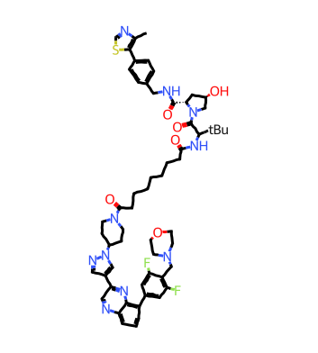 Cc1ncsc1-c1ccc(CNC(=O)[C@@H]2C[C@@H](O)CN2C(=O)C(NC(=O)CCCCCCCC(=O)N2CCC(n3cc(-c4cnc5cccc(-c6cc(F)c(CN7CCOCC7)c(F)c6)c5n4)cn3)CC2)C(C)(C)C)cc1